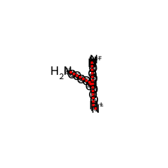 [N-]=[N+]=NCCOCCOCCOCCN(CCOCCOCCOCCN=[N+]=[N-])C(=O)CCOCCOCCOCCOCCN